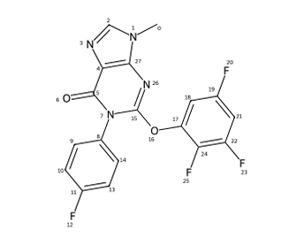 Cn1cnc2c(=O)n(-c3ccc(F)cc3)c(Oc3cc(F)cc(F)c3F)nc21